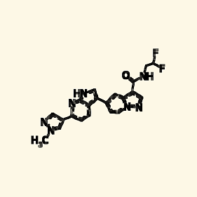 Cn1cc(-c2ccc3c(-c4ccn5ncc(C(=O)NCC(F)F)c5c4)c[nH]c3n2)cn1